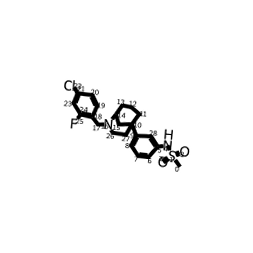 CS(=O)(=O)Nc1cccc(C23CCCC(C2)N(Cc2ccc(Cl)cc2F)CC3)c1